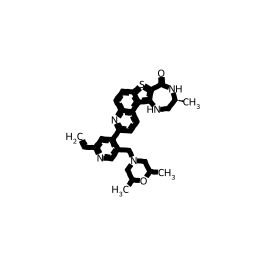 C=Cc1cc(-c2ccc3c(ccc4sc5c(c43)NC[C@@H](C)NC5=O)n2)c(CN2CC(C)OC(C)C2)cn1